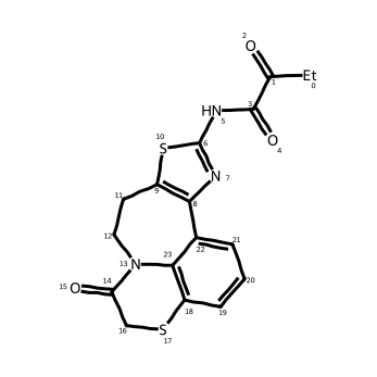 CCC(=O)C(=O)Nc1nc2c(s1)CCN1C(=O)CSc3cccc-2c31